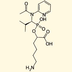 CC(=O)N(c1ccccn1)[C@H](C(C)C)P(=O)(O)OC(CCCCN)C(=O)O